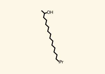 CC(C)CCCCCCCCCCCCCC(C)O